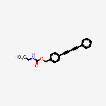 O=C(O)CNC(=O)OCc1ccc(C#CC#Cc2ccccc2)cc1